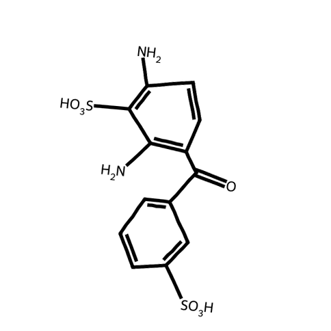 Nc1ccc(C(=O)c2cccc(S(=O)(=O)O)c2)c(N)c1S(=O)(=O)O